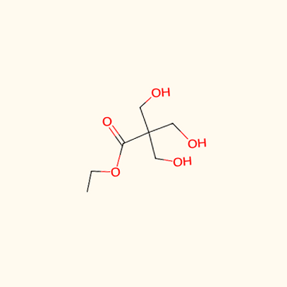 CCOC(=O)C(CO)(CO)CO